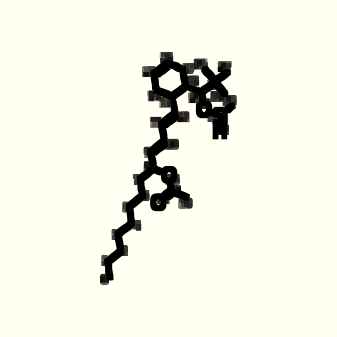 CCCCCCCCC(C=CC=C[C@H]1CC=CC[C@H]1C(O[SiH](C)C)C(C)(C)C)OC(C)=O